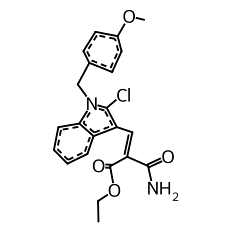 CCOC(=O)/C(=C\c1c(Cl)n(Cc2ccc(OC)cc2)c2ccccc12)C(N)=O